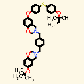 CCC(C)(C)Oc1ccc(Sc2ccc(Oc3ccc4c(c3)CN(Cc3ccc(CN5COc6ccc(OC(C)(C)C)cc6C5)cc3)CO4)cc2)cc1